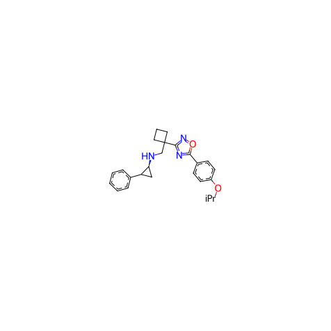 CC(C)Oc1ccc(-c2nc(C3(CN[C@H]4CC4c4ccccc4)CCC3)no2)cc1